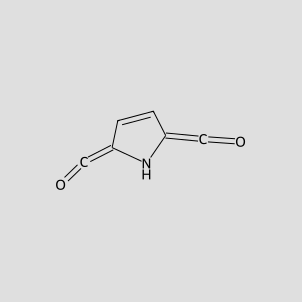 O=C=c1ccc(=C=O)[nH]1